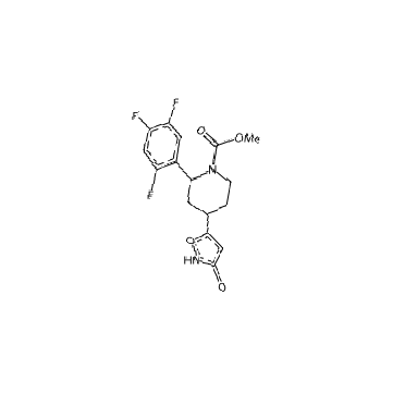 COC(=O)N1CCC(c2cc(=O)[nH]o2)CC1c1cc(F)c(F)cc1F